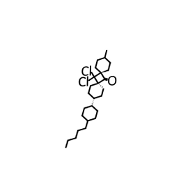 CCCCCC1CCC([C@H]2CC[C@@]3(CC2)C(=O)[C@]2(CCC(C)CC2)C3(Cl)Cl)CC1